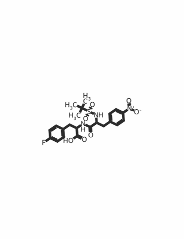 CC(C)(C)S(=O)(=O)NC(Cc1ccc([N+](=O)[O-])cc1)C(=O)NC(Cc1ccc(F)cc1)C(=O)O